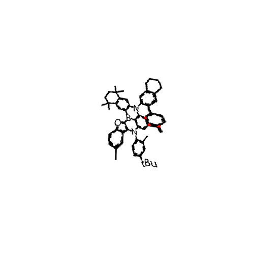 C=Cc1cc2c3c(c1)N(c1ccc(C(C)(C)C)cc1C)c1c(oc4ccc(C)cc14)B3c1cc3c(cc1N2c1cc2c(cc1-c1cc#ccc1)CCCC2)C(C)(C)CCC3(C)C